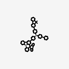 CC1(C)c2ccccc2-c2ccc(-c3ccc(N(c4ccc(-c5ccccc5)cc4)c4ccc(-c5cc6c7c(c5)c5ccccc5n7-c5ccccc5C65c6ccccc6-c6ccccc65)cc4)cc3)cc21